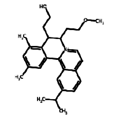 COCCC1C(CCO)c2c(C)cc(C)cc2-c2c3cc(C(C)C)ccc3cc[n+]21